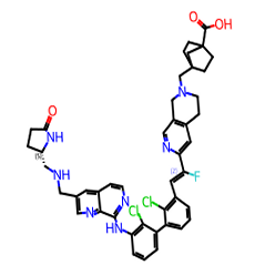 O=C1CC[C@@H](CNCc2cnc3c(Nc4cccc(-c5cccc(/C=C(\F)c6cc7c(cn6)CN(CC68CCC(C(=O)O)(CC6)C8)CC7)c5Cl)c4Cl)nccc3c2)N1